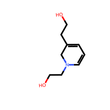 OCCC1=CC=CN(CCO)C1